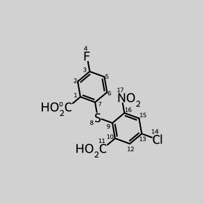 O=C(O)c1cc(F)ccc1Sc1c(C(=O)O)cc(Cl)cc1[N+](=O)[O-]